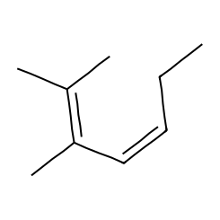 CC/C=C\C(C)=C(C)C